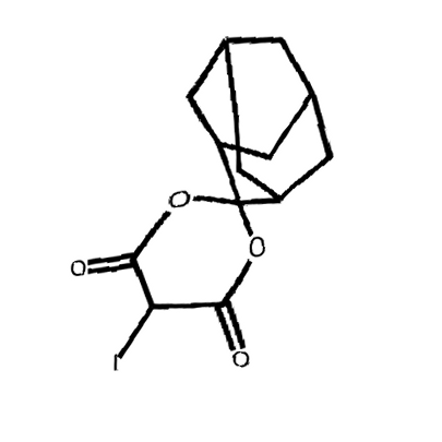 O=C1OC2(OC(=O)C1I)C1CC3CC(C1)CC2C3